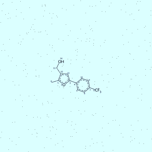 Cc1oc(-c2ccc(C(F)(F)F)cc2)cc1CO